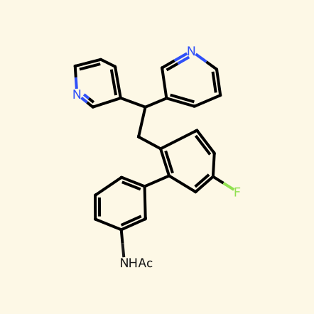 CC(=O)Nc1cccc(-c2cc(F)ccc2CC(c2cccnc2)c2cccnc2)c1